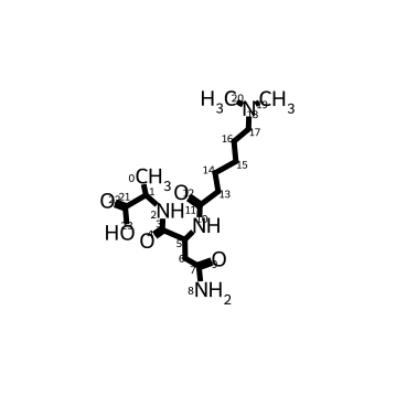 CC(NC(=O)C(CC(N)=O)NC(=O)CCCCCN(C)C)C(=O)O